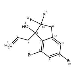 C=CCC1(O)c2c(Br)cc(Br)cc2CC1(F)F